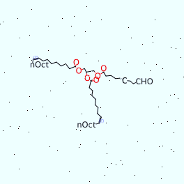 CCCCCCCC/C=C\CCCCCCCC(=O)OCC(COC(=O)CCCCCCCC=O)OC(=O)CCCCCCC/C=C\CCCCCCCC